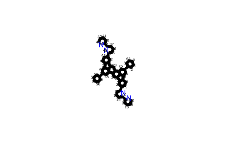 c1ccc(-c2cc3c4ccc(-c5cccc(-c6ccccn6)n5)cc4c4cc5c(cc6c7cc(-c8cccc(-c9ccccn9)n8)ccc7c7cc(-c8ccccc8)cc5c76)c(c2)c34)cc1